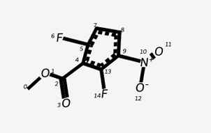 COC(=O)c1c(F)ccc([N+](=O)[O-])c1F